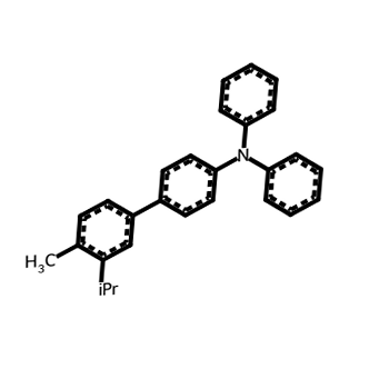 Cc1ccc(-c2ccc(N(c3ccccc3)c3ccccc3)cc2)cc1C(C)C